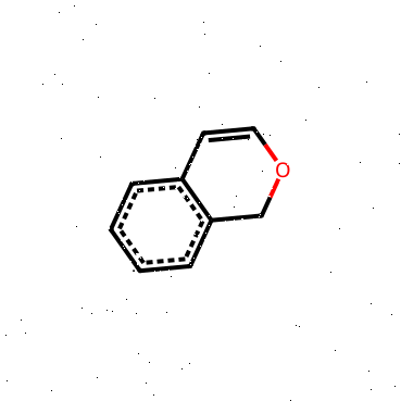 [c]1ccc2c(c1)COC=C2